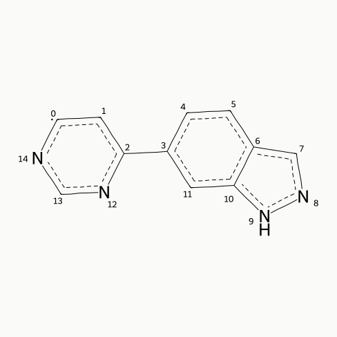 [c]1cc(-c2ccc3cn[nH]c3c2)ncn1